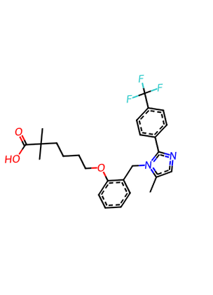 Cc1cnc(-c2ccc(C(F)(F)F)cc2)n1Cc1ccccc1OCCCCC(C)(C)C(=O)O